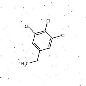 C[CH]c1cc(Cl)c(Cl)c(Cl)c1